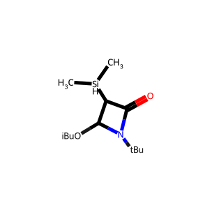 CC(C)COC1C([SiH](C)C)C(=O)N1C(C)(C)C